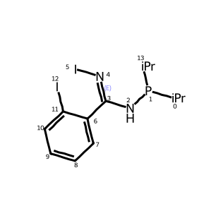 CC(C)P(N/C(=N/I)c1ccccc1I)C(C)C